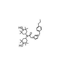 CCCc1ccc(C[n+]2ccn(CC(=O)N(C3CC(C)(C)N(O)C(C)(C)C3)C3CC(C)(C)N(O)C(C)(C)C3)c2)cc1